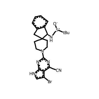 CC(C)(C)[S+]([O-])N[C@@H]1c2ccccc2CC12CCN(c1nc(C#N)c3c(Br)c[nH]c3n1)CC2